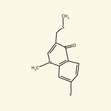 CSCc1cn(C)c2cc(F)ccc2c1=O